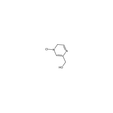 OCC1=CN(Cl)CC=N1